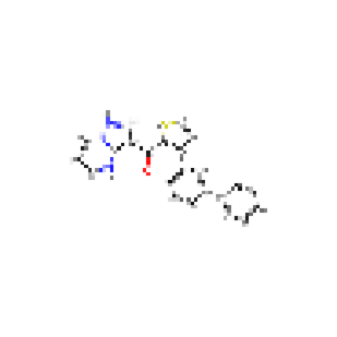 O=C(c1sccc1-c1cccc(-c2ccccc2)c1)c1cnn2cccnc12